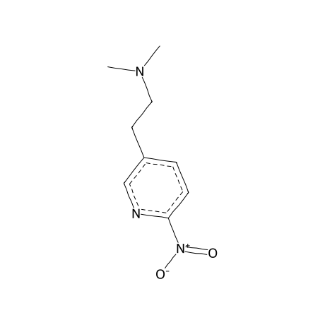 CN(C)CCc1ccc([N+](=O)[O-])nc1